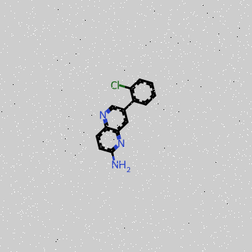 Nc1ccc2ncc(-c3ccccc3Cl)cc2n1